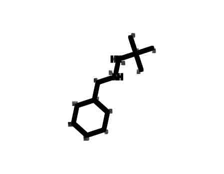 CC(C)(C)NNCC1CCCCC1